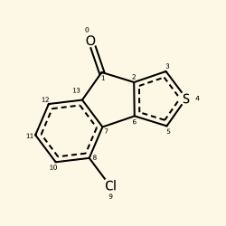 O=C1c2cscc2-c2c(Cl)cccc21